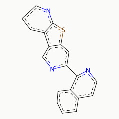 c1ccc2c(-c3cc4sc5ncccc5c4cn3)nccc2c1